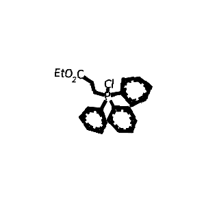 CCOC(=O)CCP(Cl)(c1ccccc1)(c1ccccc1)c1ccccc1